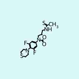 CC(=S)NCC1CN(c2cc(F)c(N3CCSCC3)c(F)c2)C(=O)O1